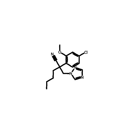 CCCCC(C#N)(Cn1cncn1)c1ccc(Cl)cc1OC